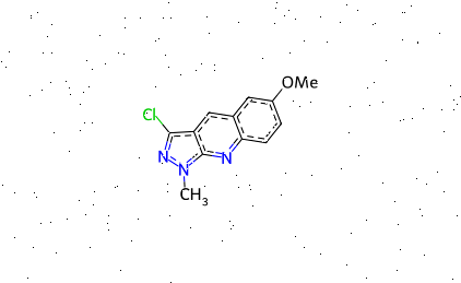 COc1ccc2nc3c(cc2c1)c(Cl)nn3C